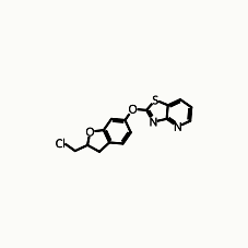 ClCC1Cc2ccc(Oc3nc4ncccc4s3)cc2O1